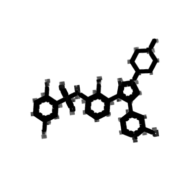 CN1CCC(n2cc(-c3ccnc(Cl)c3)c(-c3cccc(NS(=O)(=O)c4cc(F)ccc4F)c3F)n2)CC1